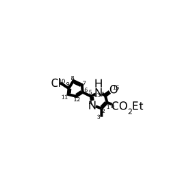 CCOC(=O)c1c(C)nc(-c2ccc(Cl)cc2)[nH]c1=O